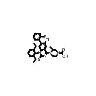 CCc1cccc(CC)c1-n1c(=S)nc(N2CCN(C(=O)O)CC2C)c2cc(Cl)c(-c3ccccc3F)cc21